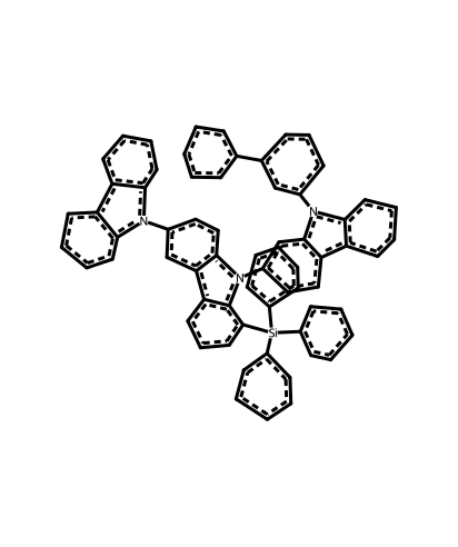 c1ccc(-c2cccc(-n3c4ccccc4c4ccc(-n5c6ccc(-n7c8ccccc8c8ccccc87)cc6c6cccc([Si](c7ccccc7)(c7ccccc7)c7ccccc7)c65)cc43)c2)cc1